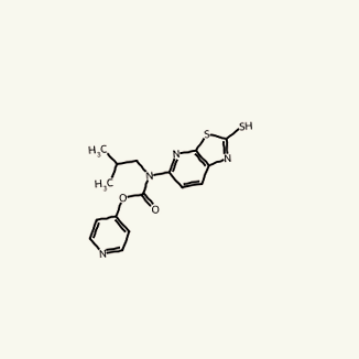 CC(C)CN(C(=O)Oc1ccncc1)c1ccc2nc(S)sc2n1